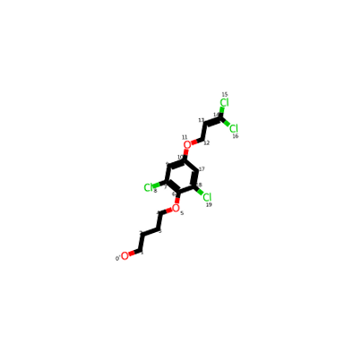 [O]CCCCOc1c(Cl)cc(OCC=C(Cl)Cl)cc1Cl